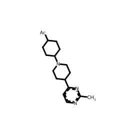 CC(=O)C1CCC(N2CCC(c3ccnc(C)n3)CC2)CC1